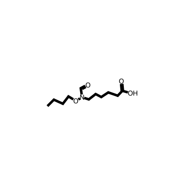 CCCCON(C=O)CCCCCC(=O)O